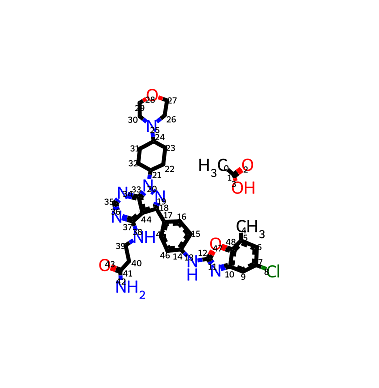 CC(=O)O.Cc1cc(Cl)cc2nc(Nc3ccc(-c4nn(C5CCC(N6CCOCC6)CC5)c5ncnc(NCCC(N)=O)c45)cc3)oc12